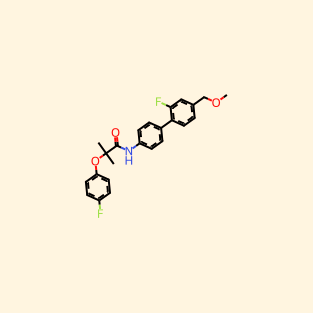 COCc1ccc(-c2ccc(NC(=O)C(C)(C)Oc3ccc(F)cc3)cc2)c(F)c1